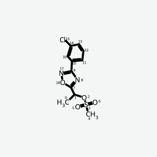 CC(OS(C)(=O)=O)c1nc(-c2cccc(Cl)c2)no1